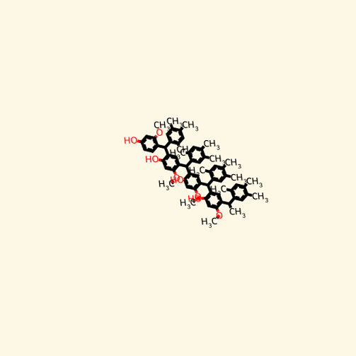 COc1cc(O)c(C(c2cc(C)c(C)cc2C)c2cc(C(c3cc(C)c(C)cc3C)c3cc(C(c4cc(C)c(C)cc4C)c4ccc(O)cc4OC)c(O)cc3OC)c(O)cc2OC)cc1C(C)c1cc(C)c(C)cc1C